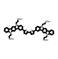 CCCCCCCCCCCCn1c2ccccc2c2cc3c(cc21)c1cc(-c2ccc(-c4ccc(-c5ccc6c(c5)c5cc7c(cc5n6CCCCCCCCCCCC)c5ccccc5n7CCCCCCCCCCCC)s4)s2)ccc1n3CCCCCCCCCCCC